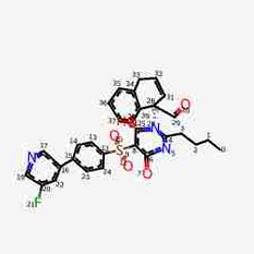 CCCCc1nc(=O)c(S(=O)(=O)c2ccc(-c3cncc(F)c3)cc2)c(O)n1[C@@]1(C=O)C=CCc2ccccc21